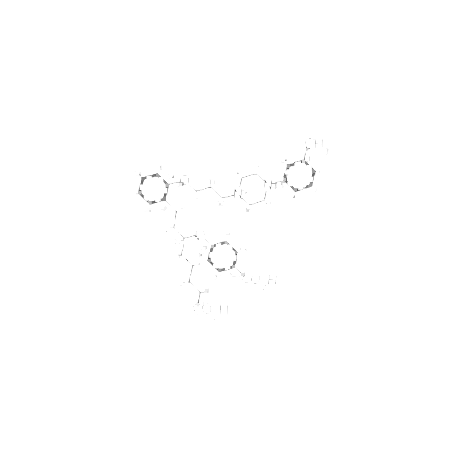 Cc1cccc(N2CCN(CCCOc3ccccc3CCC(CCCCC(=O)O)Oc3ccc(C(=O)O)cc3)CC2)c1